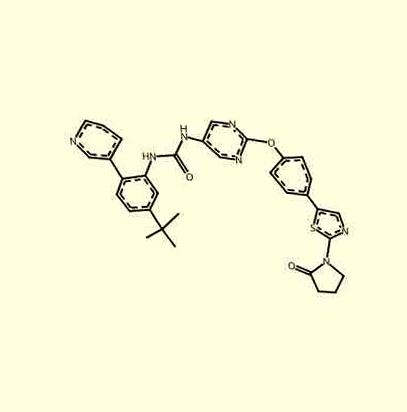 CC(C)(C)c1ccc(-c2cccnc2)c(NC(=O)Nc2cnc(Oc3ccc(-c4cnc(N5CCCC5=O)s4)cc3)nc2)c1